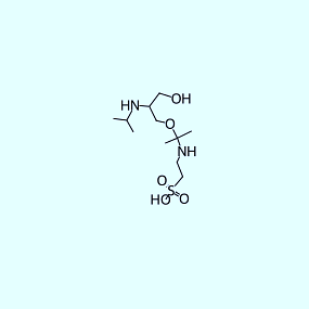 CC(C)NC(CO)COC(C)(C)NCCS(=O)(=O)O